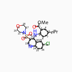 COC(=O)c1cc(C(C)C)ccc1Nc1c(S(=O)(=O)N2CCOCC2)cnc2ccc(Cl)cc12